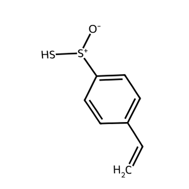 C=Cc1ccc([S+]([O-])S)cc1